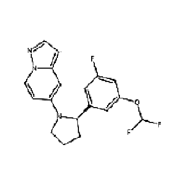 Fc1cc(OC(F)F)cc([C@H]2CCCN2c2ccn3nc[c]c3c2)c1